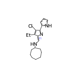 CCC1=C(Cl)C(c2ccc[nH]2)=N/C1=C/NC1CCCCCCC1